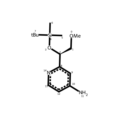 COC[C@H](O[Si](C)(C)C(C)(C)C)c1cc(N)ccn1